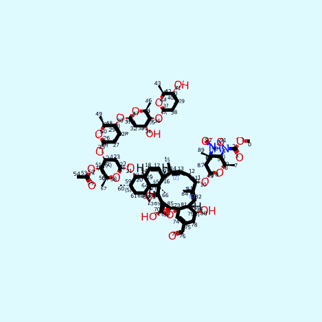 COC(=O)N[C@H]1[C@@H](C)O[C@@H](O[C@H]2C/C=C(/C)[C@@H]3C=C[C@@H]4[C@@H](O[C@H]5C[C@@H](O[C@H]6CC[C@@H](O[C@H]7C[C@@H](O)[C@@H](O[C@H]8CC[C@@H](O)[C@H](C)O8)[C@H](C)O7)[C@H](C)O6)[C@@H](OC(C)=O)[C@H](C)O5)[C@@H](C)C[C@H](C)[C@H]4[C@]3(C)C(=O)C3=C(O)OC4(C=C(C=O)C[C@H](O)[C@H]4/C=C/2C)C3=O)C[C@]1(C)[N+](=O)[O-]